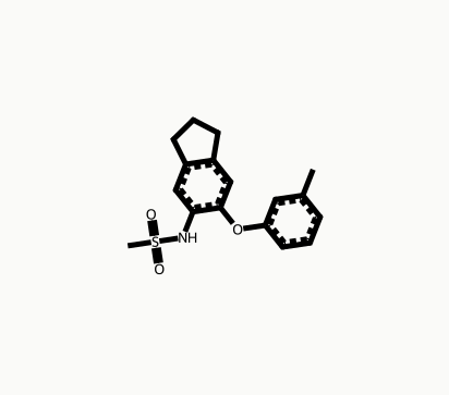 Cc1cccc(Oc2cc3c(cc2NS(C)(=O)=O)CCC3)c1